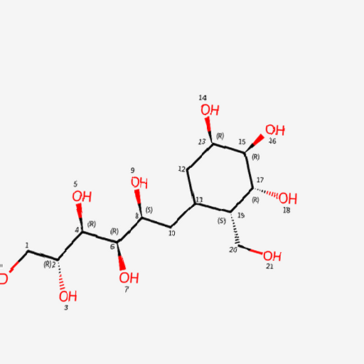 OC[C@@H](O)[C@@H](O)[C@H](O)[C@@H](O)CC1C[C@@H](O)[C@@H](O)[C@H](O)[C@@H]1CO